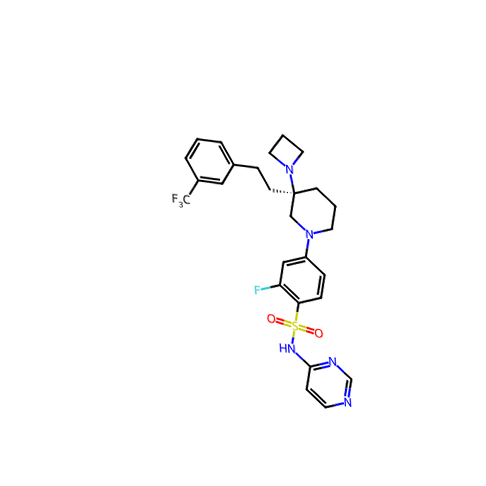 O=S(=O)(Nc1ccncn1)c1ccc(N2CCC[C@](CCc3cccc(C(F)(F)F)c3)(N3CCC3)C2)cc1F